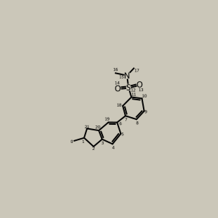 CC1Cc2ccc(-c3cccc(S(=O)(=O)N(C)C)c3)cc2C1